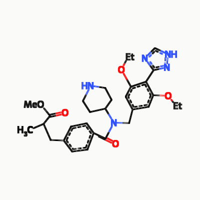 CCOc1cc(CN(C(=O)c2ccc(CC(C)C(=O)OC)cc2)C2CCNCC2)cc(OCC)c1-c1nc[nH]n1